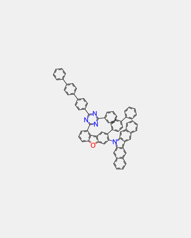 c1ccc(-c2ccc(-c3ccc(-c4nc(-c5ccccc5)nc(-c5cccc6oc7cc(-n8c9cc%10ccccc%10cc9c9cc%10ccccc%10cc98)c(-c8ccc(-c9ccccc9)cc8)cc7c56)n4)cc3)cc2)cc1